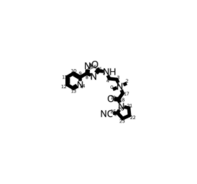 C[N+](C)(CCNc1nc(-c2ccccn2)no1)CC(=O)N1CCCC1C#N